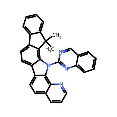 CC1(C)c2ccccc2-c2ccc3c4ccc5cccnc5c4n(-c4ncc5ccccc5n4)c3c21